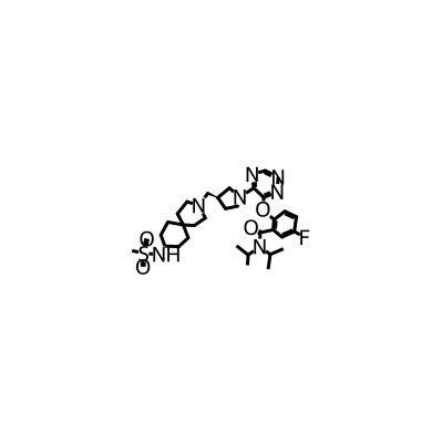 CC(C)N(C(=O)c1cc(F)ccc1Oc1nncnc1N1CC[C@@H](CN2CCC3(CCC(NS(C)(=O)=O)CC3)CC2)C1)C(C)C